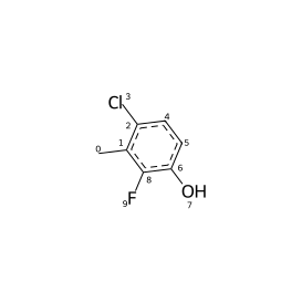 Cc1c(Cl)ccc(O)c1F